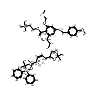 COCOc1cc(OCc2ccc(OC)cc2)cc([C@@H](C)CC[C@@H]2OC(C)(C)OC2[C@H](C)/C=C\[C@H](C)[C@H](C)O[Si](c2ccccc2)(c2ccccc2)C(C)(C)C)c1C(=O)OCC[Si](C)(C)C